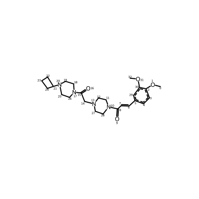 COc1ccc(C=CC(=O)N2CCN(CC(=O)N3CCN(C4CCC4)CC3)CC2)cc1OC